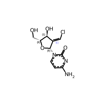 Nc1ccn([C@@H]2O[C@H](CO)[C@@H](O)/C2=C\Cl)c(=O)n1